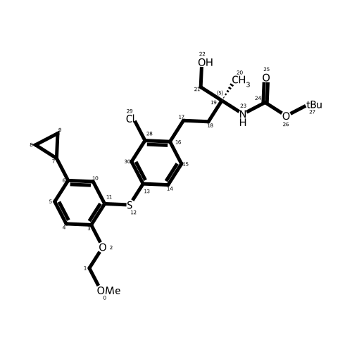 COCOc1ccc(C2CC2)cc1Sc1ccc(CC[C@@](C)(CO)NC(=O)OC(C)(C)C)c(Cl)c1